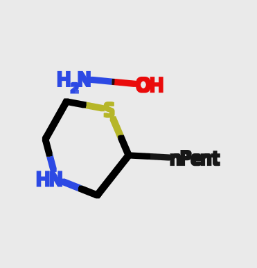 CCCCCC1CNCCS1.NO